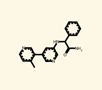 Cc1ccncc1-c1cncc(NC(C(N)=O)c2ccccc2)c1